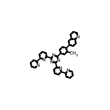 Cc1cc(-c2nc(-c3cccc(-c4ccccn4)n3)nc(-c3cccc(-c4ccccn4)n3)n2)ccc1-c1ccc2ncccc2c1